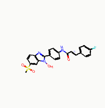 CS(=O)(=O)c1ccc2nc(-c3ccc(NC(=O)/C=C/c4ccc(F)cc4)cc3)n(O)c2c1